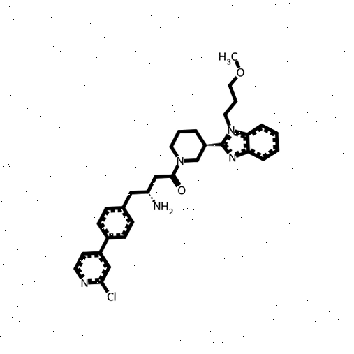 COCCCn1c([C@@H]2CCCN(C(=O)C[C@H](N)Cc3ccc(-c4ccnc(Cl)c4)cc3)C2)nc2ccccc21